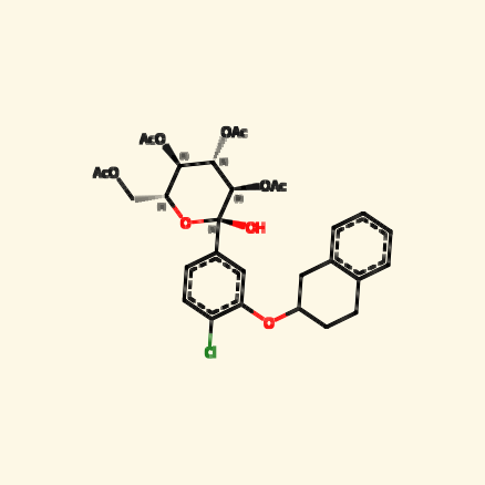 CC(=O)OC[C@H]1O[C@@](O)(c2ccc(Cl)c(OC3CCc4ccccc4C3)c2)[C@H](OC(C)=O)[C@@H](OC(C)=O)[C@@H]1OC(C)=O